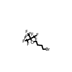 FC(F)(F)C(OCCCCBr)(C(F)(F)F)C(F)(F)F